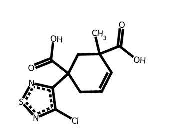 CC1(C(=O)O)C=CCC(C(=O)O)(c2nsnc2Cl)C1